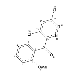 COc1ccccc1C(=O)c1nnc(Cl)cc1Cl